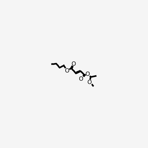 CCCCOC(=O)C=CC(=O)OC(C)OC